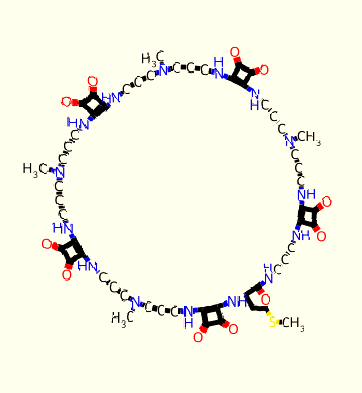 CSCCC1Nc2c(c(=O)c2=O)NCCCN(C)CCCNc2c(c(=O)c2=O)NCCCN(C)CCCNc2c(c(=O)c2=O)NCCCN(C)CCCNc2c(c(=O)c2=O)NCCCN(C)CCCNc2c(c(=O)c2=O)NCCCNC1=O